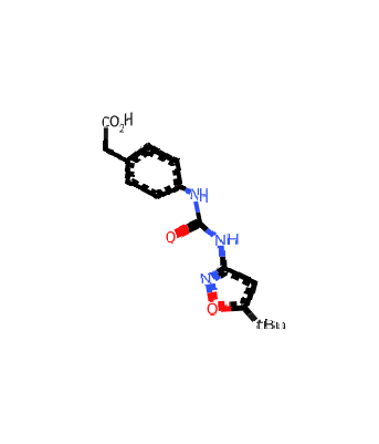 CC(C)(C)c1cc(NC(=O)Nc2ccc(CC(=O)O)cc2)no1